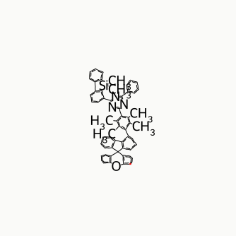 Cc1c(C)c(-c2cccc3c2-c2ccccc2C32c3ccccc3Oc3ccccc32)c(C)c(C)c1-c1nc(-c2ccccc2)nc(-c2cccc3c2[Si](C)(C)c2ccccc2-3)n1